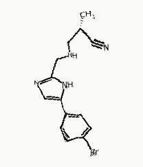 C[C@H](C#N)CNCc1ncc(-c2ccc(Br)cc2)[nH]1